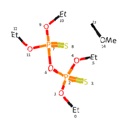 CCOP(=S)(OCC)OP(=S)(OCC)OCC.COC